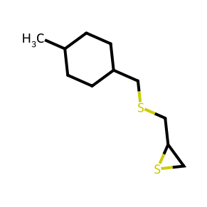 CC1CCC(CSCC2CS2)CC1